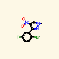 Cn1cc([N+](=O)[O-])c(-c2cc(F)ccc2Br)n1